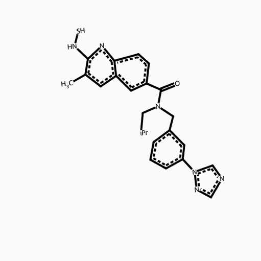 Cc1cc2cc(C(=O)N(Cc3cccc(-n4cncn4)c3)CC(C)C)ccc2nc1NS